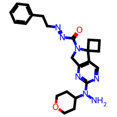 NN(c1ncc2c(n1)CN(C(=O)N=NCCc1ccccc1)C21CCC1)C1CCOCC1